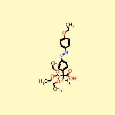 CCOc1ccc(N=Nc2ccc(C(C)(C(=O)O)[Si](OCC)(OCC)OCC)cc2)cc1